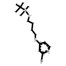 CC(C)(C)[Si](C)(C)OCCCCOc1ccnc(Br)c1